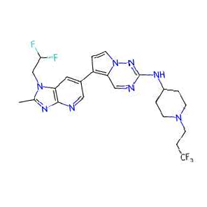 Cc1nc2ncc(-c3ccn4nc(NC5CCN(CCC(F)(F)F)CC5)ncc34)cc2n1CC(F)F